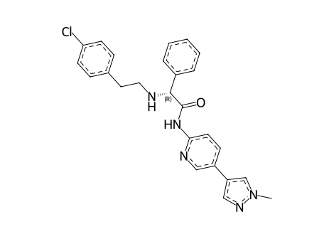 Cn1cc(-c2ccc(NC(=O)[C@H](NCCc3ccc(Cl)cc3)c3ccccc3)nc2)cn1